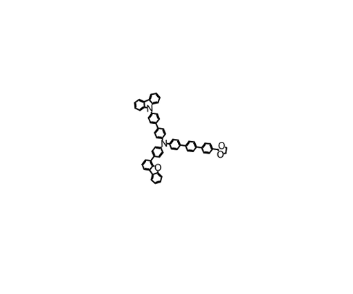 c1ccc2c(c1)oc1c(-c3ccc(N(c4ccc(-c5ccc(-c6ccc(C7OCCO7)cc6)cc5)cc4)c4ccc(-c5ccc(-n6c7ccccc7c7ccccc76)cc5)cc4)cc3)cccc12